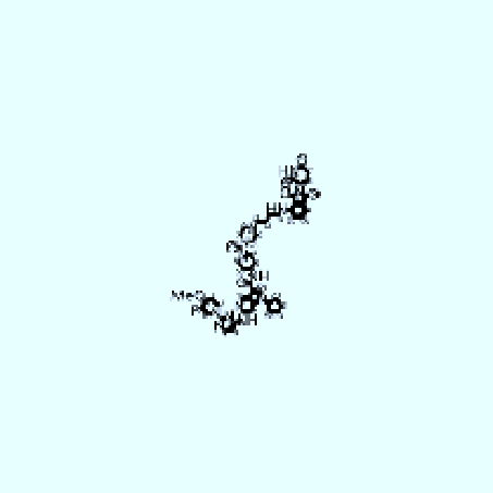 CO[C@H]1CCN(c2nccc(Nc3cc4c(cn3)c(C(=O)NC3CCN(C(=O)N5CCN(CCCCNc6cccc7c6C(=O)N(C6CCC(=O)NC6=O)C7=O)CC5)CC3)cn4C3CCCC3)n2)C[C@H]1F